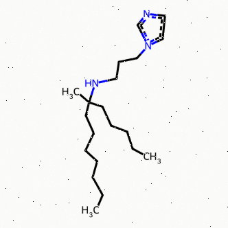 CCCCCCCC(C)(CCCCC)NCCCn1ccnc1